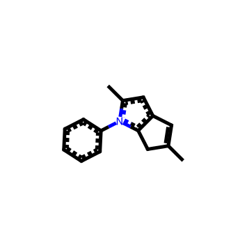 CC1=Cc2cc(C)n(-c3ccccc3)c2C1